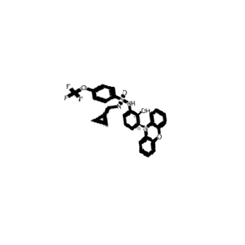 O=S(=NCC1CC1)(NC1=CCC[C@H](N2c3ccccc3Oc3ccccc32)[C@@H]1O)c1ccc(OC(F)(F)F)cc1